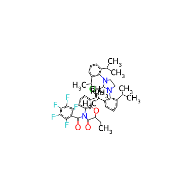 CCC1Oc2c([CH]=[Ru]([Cl])[CH]3N(c4c(C(C)C)cccc4C(C)C)CCN3c3c(C(C)C)cccc3C(C)C)cccc2N(C(=O)c2c(F)c(F)c(F)c(F)c2F)C1=O